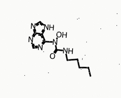 CCCCCNC(=O)N(O)c1ncnc2nc[nH]c12